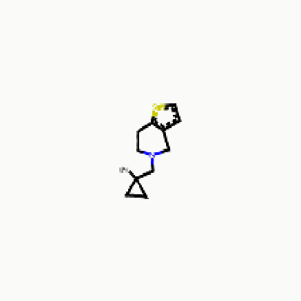 CC(C)C1(CN2CCc3sccc3C2)CC1